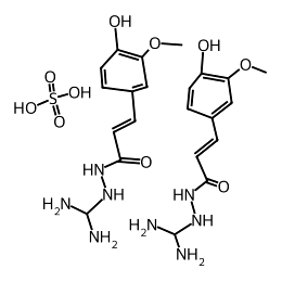 COc1cc(C=CC(=O)NNC(N)N)ccc1O.COc1cc(C=CC(=O)NNC(N)N)ccc1O.O=S(=O)(O)O